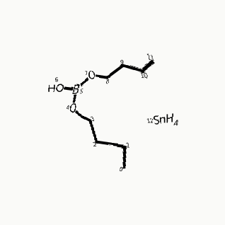 CCCCOB(O)OCCCC.[SnH4]